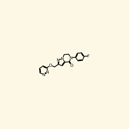 O=C1c2cc(COc3cccnn3)nn2CCN1c1ccc(F)cc1